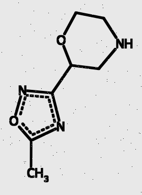 Cc1nc(C2CNCCO2)no1